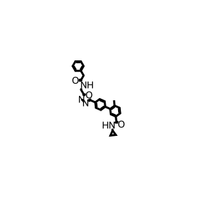 Cc1ccc(C(=O)NC2CC2)cc1-c1ccc(-c2nnc(CNC(=O)Cc3ccccc3)o2)cc1